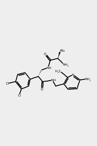 Cc1nc(N)ccc1CNC(=O)[C@@H](CNC(=O)[C@H](N)C(C)(C)C)c1ccc(Cl)c(Cl)c1